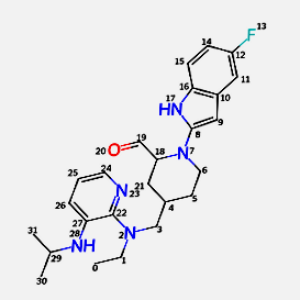 CCN(CC1CCN(c2cc3cc(F)ccc3[nH]2)C(C=O)C1)c1ncccc1NC(C)C